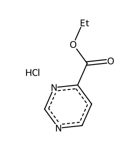 CCOC(=O)c1ccncn1.Cl